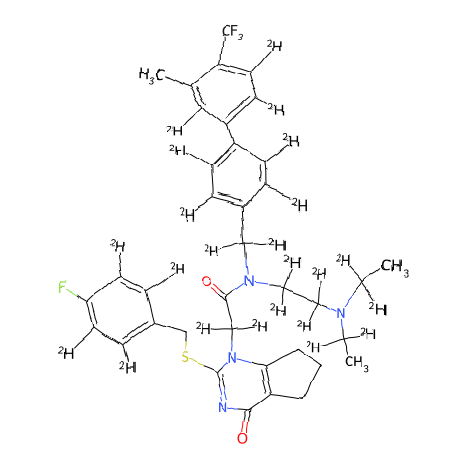 [2H]c1c([2H])c(CSc2nc(=O)c3c(n2C([2H])([2H])C(=O)N(C([2H])([2H])c2c([2H])c([2H])c(-c4c([2H])c([2H])c(C(F)(F)F)c(C)c4[2H])c([2H])c2[2H])C([2H])([2H])C([2H])([2H])N(C([2H])([2H])C)C([2H])([2H])C)CCC3)c([2H])c([2H])c1F